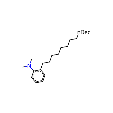 CCCCCCCCCCCCCCCCCCc1ccccc1N(C)C